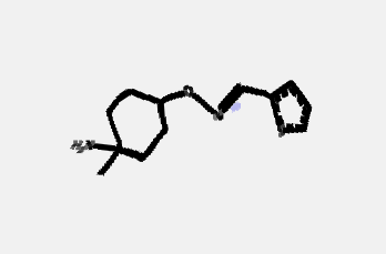 CC1(N)CCC(O/N=C/c2cccs2)CC1